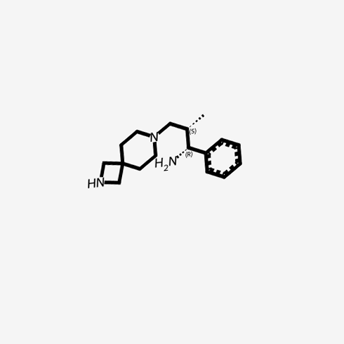 C[C@@H](CN1CCC2(CC1)CNC2)[C@@H](N)c1ccccc1